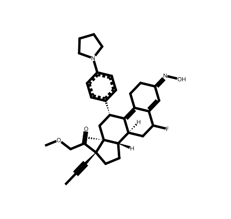 CC#C[C@]1(C(=O)COC)CC[C@H]2[C@@H]3CC(F)C4=CC(=NO)CCC4=C3[C@@H](c3ccc(N4CCCC4)cc3)C[C@@]21C